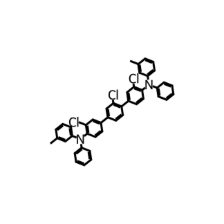 Cc1cccc(N(c2ccccc2)c2ccc(-c3ccc(-c4ccc(N(c5ccccc5)c5cccc(C)c5)c(Cl)c4)c(Cl)c3)cc2Cl)c1